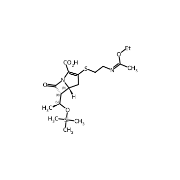 CCOC(C)=NCCSC1=C(C(=O)O)N2C(=O)[C@@H]([C@H](C)O[Si](C)(C)C)[C@H]2C1